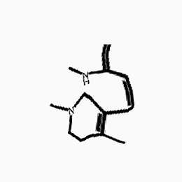 C=C(/C=C\C1=C(C)CCN(C)C1)NC